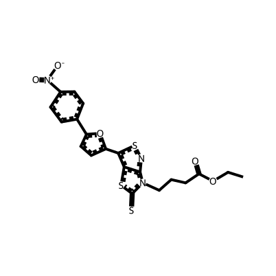 CCOC(=O)CCCn1c(=S)sc2c(-c3ccc(-c4ccc([N+](=O)[O-])cc4)o3)snc21